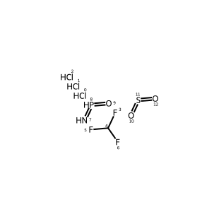 Cl.Cl.Cl.FC(F)F.N=[PH]=O.O=S=O